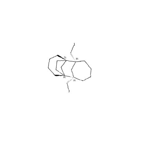 IC[C@]12CCCC[C@](CI)(C1)[C@]13CCCC[C@]2(CC1)C3